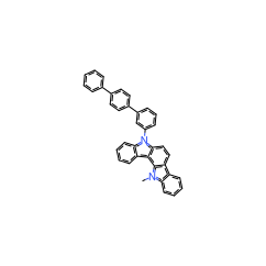 Cn1c2ccccc2c2ccc3c(c4ccccc4n3-c3cccc(-c4ccc(-c5ccccc5)cc4)c3)c21